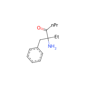 CCCC(=O)C(N)(CC)Cc1ccccc1